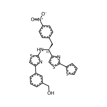 O=[N+]([O-])c1ccc(C[C@H](Nc2nc(-c3cccc(CO)c3)cs2)c2csc(-c3cccs3)n2)cc1